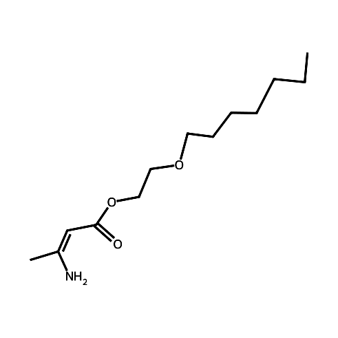 CCCCCCCOCCOC(=O)C=C(C)N